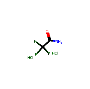 Cl.Cl.NC(=O)C(F)(F)F